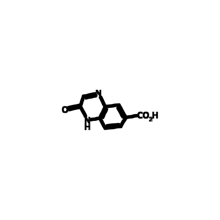 O=C(O)c1ccc2[nH]c(=O)cnc2c1